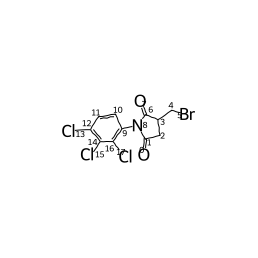 O=C1CC(CBr)C(=O)N1c1ccc(Cl)c(Cl)c1Cl